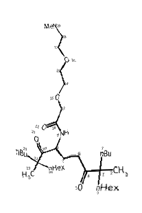 CCCCCCC(C)(CCCC)C(=O)CCC(NC(=O)COCCOCCNC)C(=O)C(C)(CCCC)CCCCCC